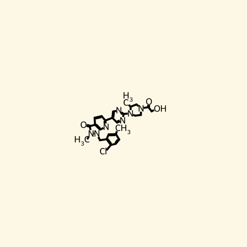 Cc1ccc(Cl)c(Cn2c3nc(-c4cnc(N5CCN(C(=O)CO)CC5C)nc4)ccc3c(=O)n2C)c1